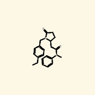 CCc1ccc(CN2C(=O)CCC2CC(=O)N(C)c2ccccc2)cc1